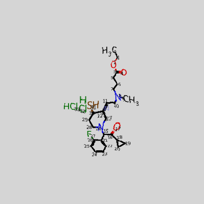 CCOC(=O)CCCN(C)C/C=C1\CN(C(C(=O)C2CC2)c2ccccc2F)CCC1S.Cl.Cl